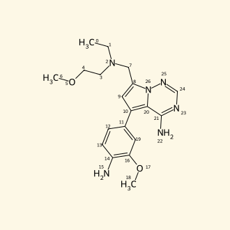 CCN(CCOC)Cc1cc(-c2ccc(N)c(OC)c2)c2c(N)ncnn12